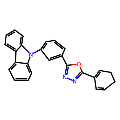 C1=CC(c2nnc(-c3cccc(-n4c5ccccc5c5ccccc54)c3)o2)=CCC1